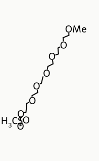 COCCOCCOCCOCCOCCOCCOS(C)(=O)=O